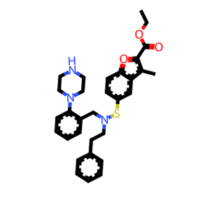 CCOC(=O)c1oc2ccc(SN(CCc3ccccc3)Cc3ccccc3N3CCNCC3)cc2c1C